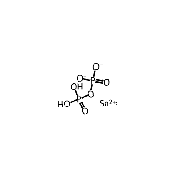 O=P([O-])([O-])OP(=O)(O)O.[Sn+2]